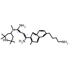 Cc1cc2cc(CCCCN)ccc2cc1/C(N)=C/C=C(\N)N(C)C1CC(C)(C)NC(C)(C)C1